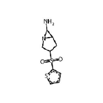 NC1C2CC(S(=O)(=O)c3cccs3)CN12